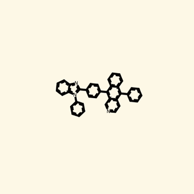 c1ccc(-c2c3ccccc3c(-c3ccc(-c4nc5ccccc5n4-c4ccccc4)cc3)c3cnccc23)cc1